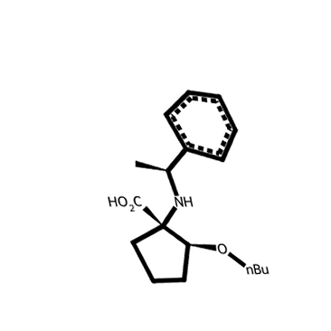 CCCCO[C@H]1CCC[C@@]1(N[C@@H](C)c1ccccc1)C(=O)O